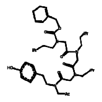 CC(=O)CN(CCc1ccc(O)cc1)C(=O)CN(CC(C)C)C(=O)CN(CCC(C)C)C(=O)CN(CCC(C)C)C(=O)OCC1=CCCC=C1